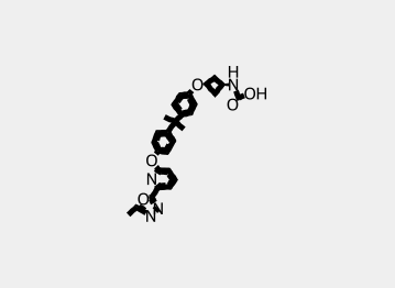 Cc1nnc(-c2cccc(Oc3ccc(C(C)(C)c4ccc(O[C@H]5C[C@H](NC(=O)O)C5)cc4)cc3)n2)o1